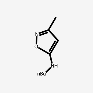 CCCCNc1cc(C)no1